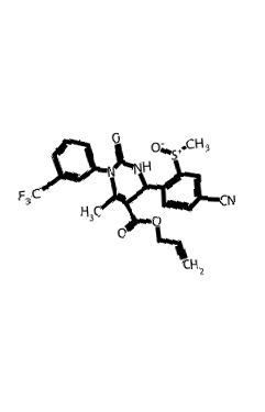 C=CCOC(=O)C1=C(C)N(c2cccc(C(F)(F)F)c2)C(=O)NC1c1ccc(C#N)cc1[S+](C)[O-]